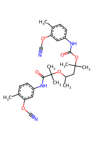 Cc1ccc(NC(=O)OC(C)(C)CC(C)OC(C)(C)C(=O)Nc2ccc(C)c(OC#N)c2)cc1OC#N